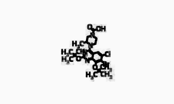 CC1CN(C(=O)O)CCN1c1nc(OC(C)(C)C)nc2c(OC(C)(C)C)c(Br)c(Cl)cc12